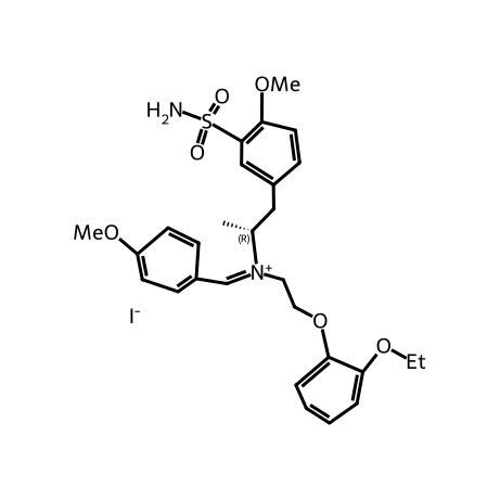 CCOc1ccccc1OCC[N+](=Cc1ccc(OC)cc1)[C@H](C)Cc1ccc(OC)c(S(N)(=O)=O)c1.[I-]